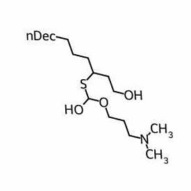 CCCCCCCCCCCCCC(CCO)SC(O)OCCCN(C)C